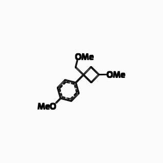 COCC1(c2ccc(OC)cc2)CC(OC)C1